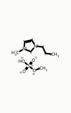 CCCN1C=CN(C)C1.COS(=O)(=O)O